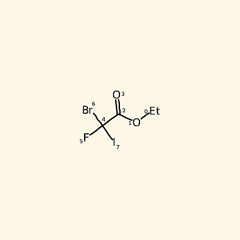 CCOC(=O)C(F)(Br)I